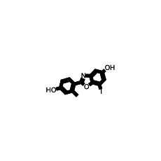 Cc1cc(O)ccc1-c1nc2cc(O)cc(I)c2o1